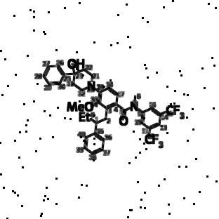 CCC(Cc1c(C(=O)N(C)c2cc(C(F)(F)F)cc(C(F)(F)F)c2)ccc(N2CCC(O)(c3ccccc3)CC2)c1OC)c1ccccc1